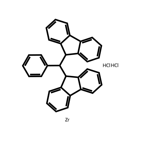 Cl.Cl.[Zr].c1ccc(C(C2c3ccccc3-c3ccccc32)C2c3ccccc3-c3ccccc32)cc1